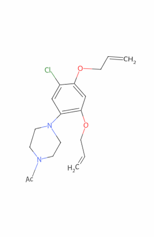 C=CCOc1cc(OCC=C)c(N2CCN(C(C)=O)CC2)cc1Cl